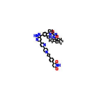 Cc1cc(-c2n[nH]c3ncc(-c4ccc(C5CCN(C6CC(c7ccc(C8CCC(=O)NC8=O)cc7)C6)CC5)nc4)cc23)ccc1C(C)NC(=O)c1noc(C(C)(C)C)n1